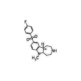 CN1c2ccc(S(=O)(=O)c3ccc(F)cc3)cc2[C@@H]2CCNCCC21